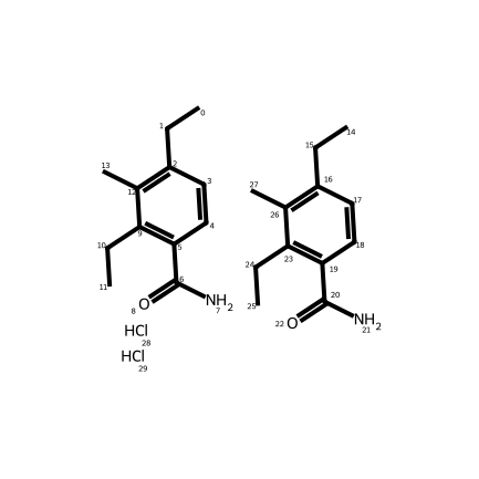 CCc1ccc(C(N)=O)c(CC)c1C.CCc1ccc(C(N)=O)c(CC)c1C.Cl.Cl